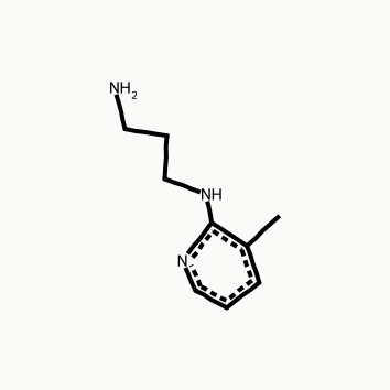 Cc1cccnc1NCCCN